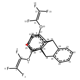 FC(F)=C(F)Oc1ccc(OC(F)=C(F)F)c2c1C1c3ccccc3C2c2ccccc21